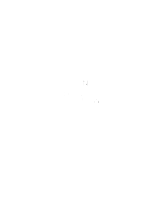 CCCCN(CCC)S(=O)(=O)CCCF